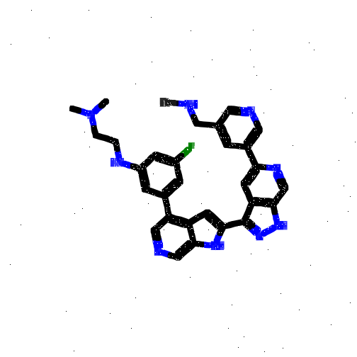 CCNCc1cncc(-c2cc3c(-c4cc5c(-c6cc(F)cc(NCCN(C)C)c6)cncc5[nH]4)n[nH]c3cn2)c1